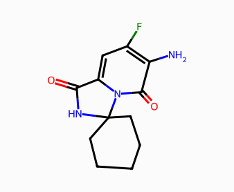 Nc1c(F)cc2n(c1=O)C1(CCCCC1)NC2=O